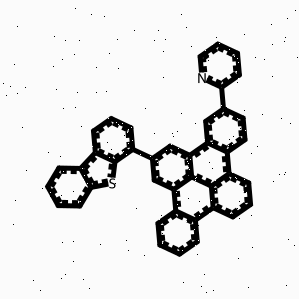 c1ccc(-c2ccc3c(c2)c2cc(-c4cccc5c4sc4ccccc45)cc4c5ccccc5c5cccc3c5c42)nc1